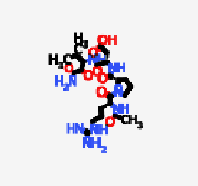 CC(=O)N[C@@H](CCCNC(=N)N)C(=O)N1CCC[C@H]1C(=O)N[C@@H](CC(=O)O)C(=O)N[C@H](C(=O)C(N)=O)C(C)C